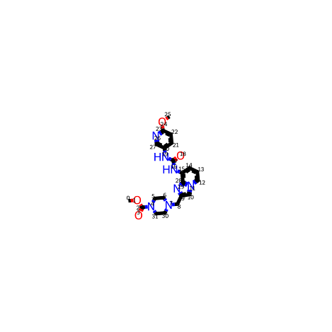 COC(=O)N1CCN(Cc2cn3cccc(NC(=O)Nc4ccc(OC)nc4)c3n2)CC1